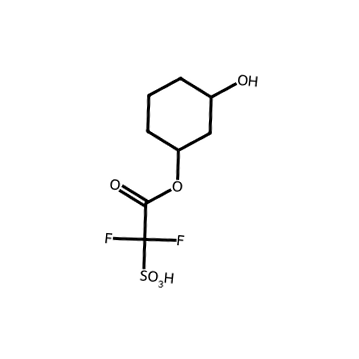 O=C(OC1CCCC(O)C1)C(F)(F)S(=O)(=O)O